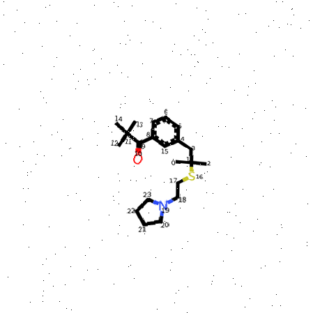 CC(C)(Cc1cccc(C(=O)C(C)(C)C)c1)SCCN1CCCC1